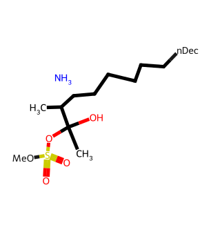 CCCCCCCCCCCCCCCCC(C)C(C)(O)OS(=O)(=O)OC.N